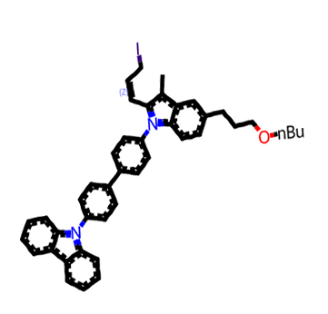 CCCCOCCCc1ccc2c(c1)c(C)c(/C=C\CI)n2-c1ccc(-c2ccc(-n3c4ccccc4c4ccccc43)cc2)cc1